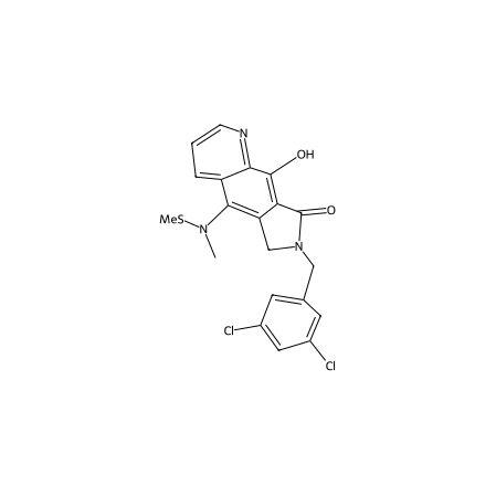 CSN(C)c1c2c(c(O)c3ncccc13)C(=O)N(Cc1cc(Cl)cc(Cl)c1)C2